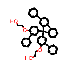 OCCOc1ccc(C2(c3ccc(OCCO)c(-c4ccccc4)c3)c3ccccc3-c3ccc(-c4ccccc4)cc32)cc1-c1ccccc1